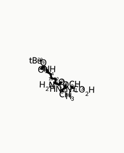 C[C@H](NC(=O)[C@H](C)NC(=O)[C@@H](N)CCCCNC(=O)OC(C)(C)C)C(=O)O